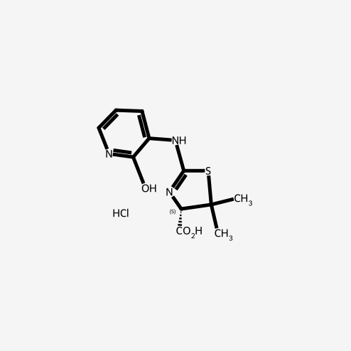 CC1(C)SC(Nc2cccnc2O)=N[C@H]1C(=O)O.Cl